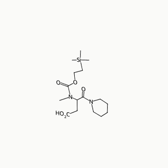 CN(C(=O)OCC[Si](C)(C)C)C(CC(=O)O)C(=O)N1CCCCC1